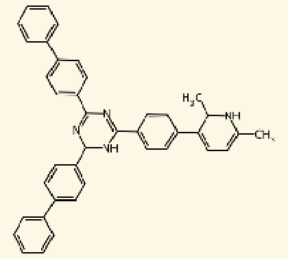 CC1=CC=C(c2ccc(C3=NC(c4ccc(-c5ccccc5)cc4)=NC(c4ccc(-c5ccccc5)cc4)N3)cc2)C(C)N1